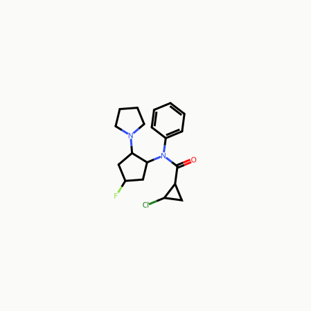 O=C(C1CC1Cl)N(c1ccccc1)C1CC(F)CC1N1CCCC1